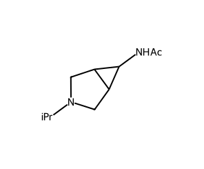 CC(=O)NC1C2CN(C(C)C)CC21